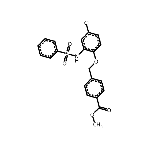 COC(=O)c1ccc(COc2ccc(Cl)cc2NS(=O)(=O)c2ccccc2)cc1